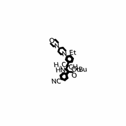 CCc1ccc(C(C)(C)c2[nH]c3cc(C#N)ccc3c2C(=O)OC(C)(C)C)cc1N1CCC(N2CCOCC2)CC1